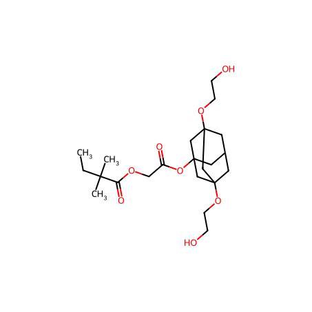 CCC(C)(C)C(=O)OCC(=O)OC12CC3CC(OCCO)(CC(OCCO)(C3)C1)C2